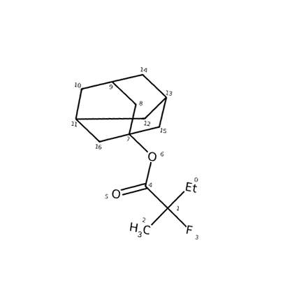 CCC(C)(F)C(=O)OC12CC3CC(CC(C3)C1)C2